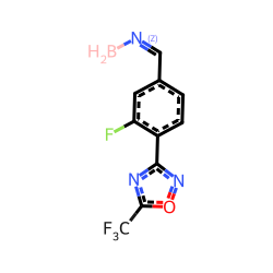 B/N=C\c1ccc(-c2noc(C(F)(F)F)n2)c(F)c1